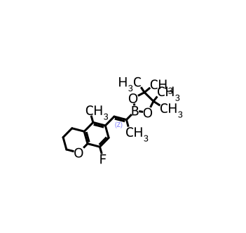 C/C(=C\c1cc(F)c2c(c1C)CCCO2)B1OC(C)(C)C(C)(C)O1